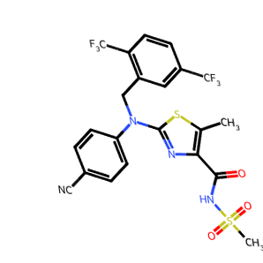 Cc1sc(N(Cc2cc(C(F)(F)F)ccc2C(F)(F)F)c2ccc(C#N)cc2)nc1C(=O)NS(C)(=O)=O